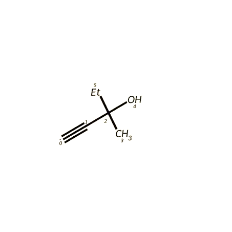 [C]#CC(C)(O)CC